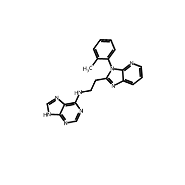 Cc1ccccc1-n1c(CCNc2ncnc3[nH]cnc23)nc2cccnc21